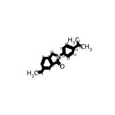 C=Cc1ccc2c(c1)C(=O)N(c1ccc(C(C)C)cc1)C2